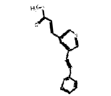 COC(=O)/C=C/c1cncc(C#Cc2ccccc2)c1